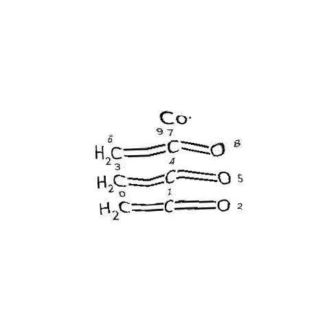 C=C=O.C=C=O.C=C=O.[Co]